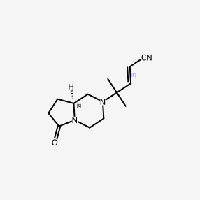 CC(C)(/C=C/C#N)N1CCN2C(=O)CC[C@H]2C1